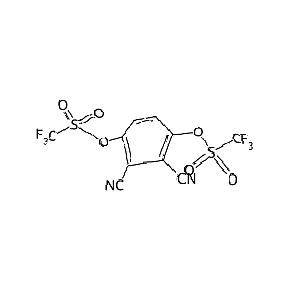 N#Cc1c(OS(=O)(=O)C(F)(F)F)ccc(OS(=O)(=O)C(F)(F)F)c1C#N